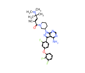 CN(C)C(C)(C)C=C(C#N)C(=O)N1CCC[C@@H](n2nc(-c3ccc(Oc4cccc(F)c4F)cc3F)c3c(N)ncnc32)C1